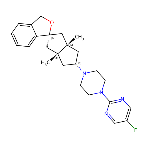 C[C@@]12C[C@H](N3CCN(c4ncc(F)cn4)CC3)C[C@]1(C)C[C@@]1(C2)OCc2ccccc21